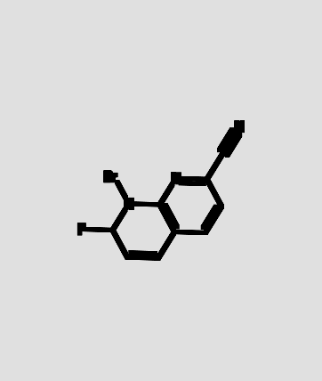 N#Cc1ccc2c(n1)N(Br)C(F)C=C2